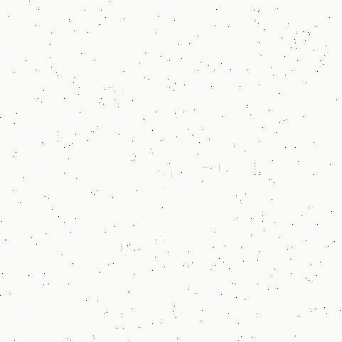 CN1CCC(Oc2ccc(C(N)=O)cc2Cl)c2cc(Cl)sc2C1.Cl